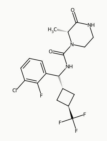 C[C@@H]1C(=O)NCCN1C(=O)NC(c1cccc(Cl)c1F)[C@H]1C[C@H](C(F)(F)F)C1